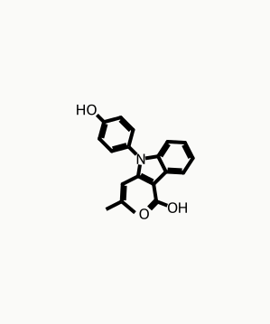 CC(C)=Cc1c(C(=O)O)c2ccccc2n1-c1ccc(O)cc1